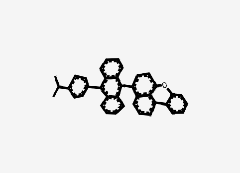 CC(C)c1ccc(-c2c3ccccc3c(-c3ccc4c5c(cccc35)-c3ccccc3O4)c3ccccc23)cc1